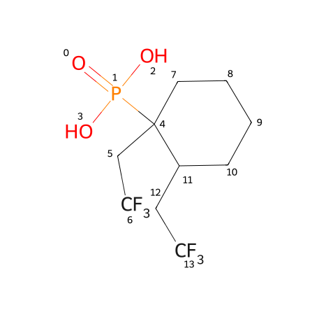 O=P(O)(O)C1(CC(F)(F)F)CCCCC1CC(F)(F)F